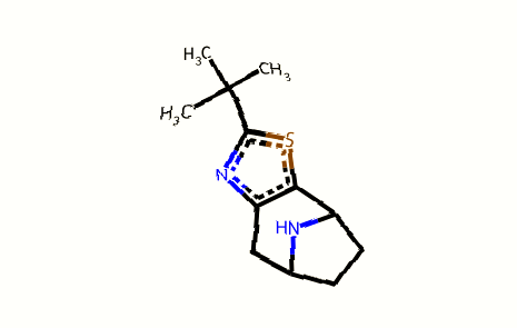 CC(C)(C)c1nc2c(s1)C1CCC(C2)N1